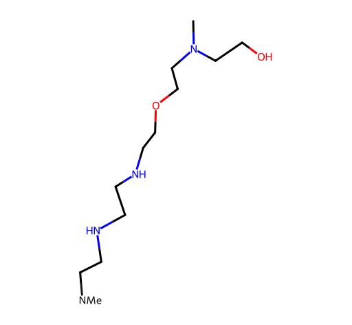 CNCCNCCNCCOCCN(C)CCO